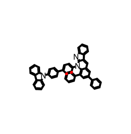 c1ccc(-c2cc(-c3ccccc3)c3c(c2)cc2c4ccccc4nc-2n3-c2ccc(-c3ccc(-n4c5ccccc5c5ccccc54)cc3)cc2)cc1